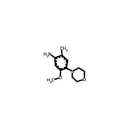 COc1cc(N)c(C)cc1N1CCOCC1